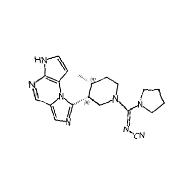 C[C@@H]1CCN(C(=NC#N)N2CCCC2)C[C@@H]1c1ncc2cnc3[nH]ccc3n12